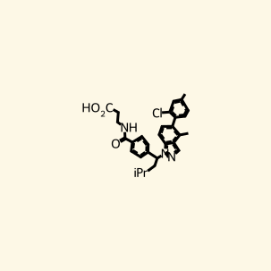 Cc1ccc(-c2ccc3c(cnn3C(CC(C)C)c3ccc(C(=O)NCCC(=O)O)cc3)c2C)c(Cl)c1